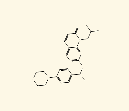 CC(C)[C@H](C)n1c(=O)ccc2cnc(N[C@@H](C)c3ccc(N4CCNCC4)nc3)nc21